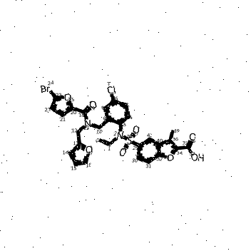 CCN(c1ccc(Cl)cc1CN(Cc1ccco1)C(=O)c1ccc(Br)o1)S(=O)(=O)c1ccc2oc(C(=O)O)c(C)c2c1